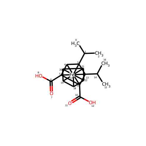 CC(C)[C]12[CH]3[C]4(C(=O)O)[C]5(C(=O)O)[C]1(C(C)C)[Fe]34251678[CH]2[CH]1[CH]6[CH]7[CH]28